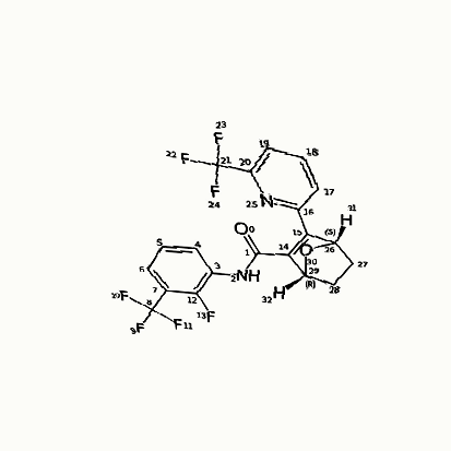 O=C(Nc1cccc(C(F)(F)F)c1F)C1=C(c2cccc(C(F)(F)F)n2)[C@@H]2CC[C@H]1O2